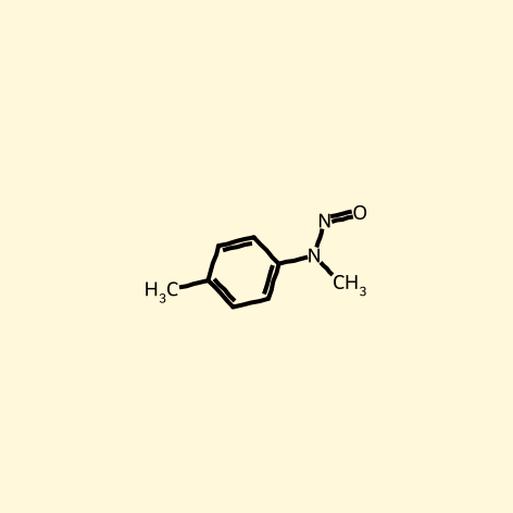 Cc1ccc(N(C)N=O)cc1